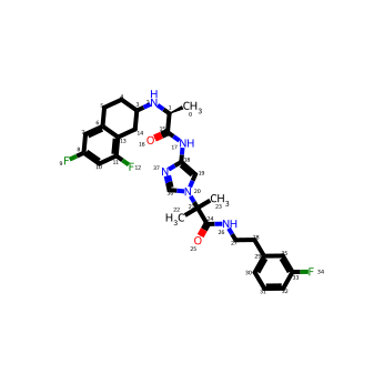 C[C@H](NC1CCc2cc(F)cc(F)c2C1)C(=O)Nc1cn(C(C)(C)C(=O)NCCc2cccc(F)c2)cn1